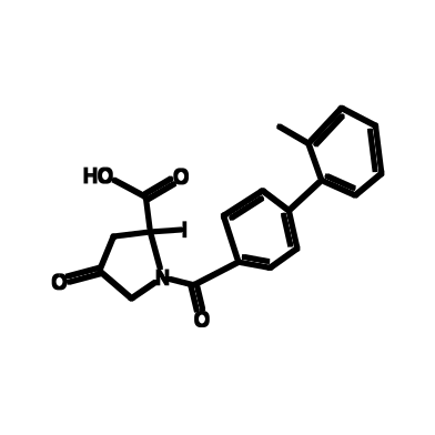 Cc1ccccc1-c1ccc(C(=O)N2CC(=O)CC2(I)C(=O)O)cc1